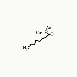 CCCCCCCC(=O)[O][Au].[Co]